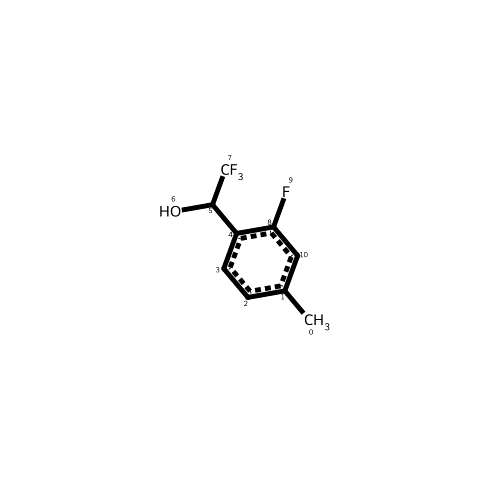 Cc1ccc(C(O)C(F)(F)F)c(F)c1